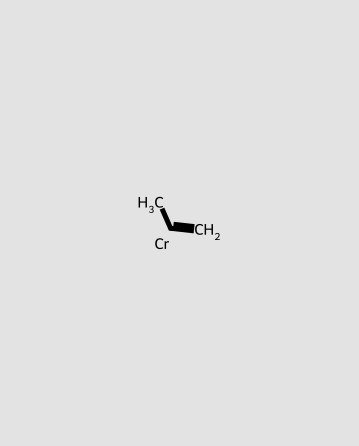 C=CC.[Cr]